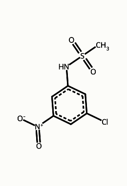 CS(=O)(=O)Nc1cc(Cl)cc([N+](=O)[O-])c1